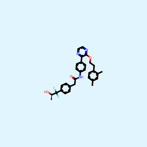 Cc1ccc(CCOc2nccnc2-c2ccc(NC(=O)Cc3ccc(C(F)(F)[C@@H](C)O)cc3)cc2)c(C)c1